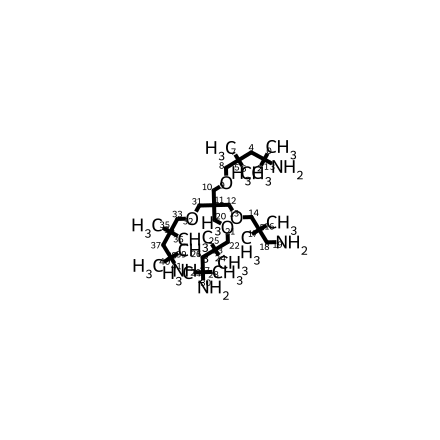 CC(C)(N)CC(C)(C)COCC(COCC(C)(C)CN)(COCC(C)(C)CC(C)(C)N)COCC(C)(C)CC(C)(C)N